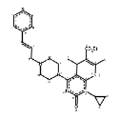 CCOC(=O)C1=C(C)Nc2c(c(N3CCN(C/C=C/c4ccccc4)CC3)nc(=O)n2C2CC2)C1C